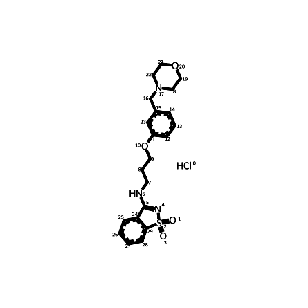 Cl.O=S1(=O)N=C(NCCCOc2cccc(CN3CCOCC3)c2)c2ccccc21